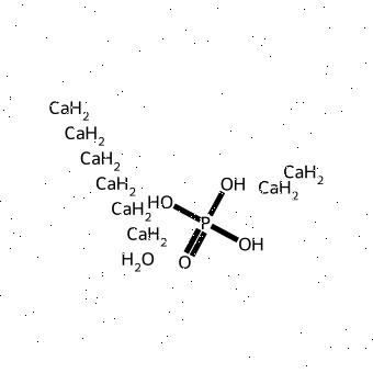 O.O=P(O)(O)O.[CaH2].[CaH2].[CaH2].[CaH2].[CaH2].[CaH2].[CaH2].[CaH2]